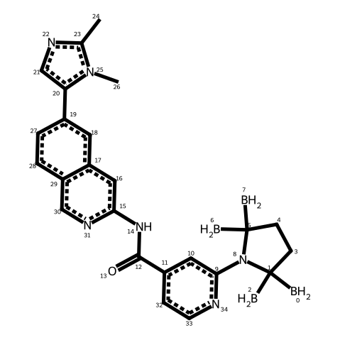 BC1(B)CCC(B)(B)N1c1cc(C(=O)Nc2cc3cc(-c4cnc(C)n4C)ccc3cn2)ccn1